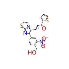 O=C(/C=C/c1c(-c2ccc(CO)c([N+](=O)[O-])c2)nc2sccn12)c1cccs1